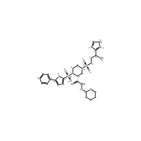 O=C(NOC1CCCCO1)[C@H]1CN(S(=O)(=O)CCC(S)c2nc[nH]n2)CCN1S(=O)(=O)c1ccc(-c2ccccc2)s1